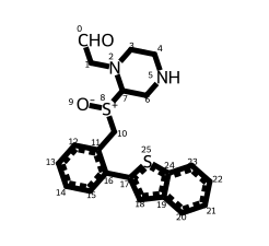 O=CCN1CCNCC1[S+]([O-])Cc1ccccc1-c1cc2ccccc2s1